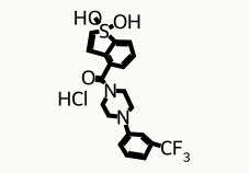 Cl.O=C(c1cccc2c1C=CS2(O)O)N1CCN(c2cccc(C(F)(F)F)c2)CC1